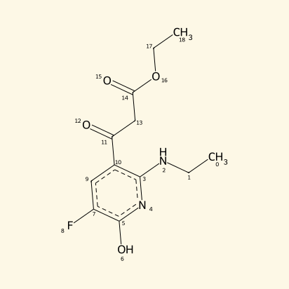 CCNc1nc(O)c(F)cc1C(=O)CC(=O)OCC